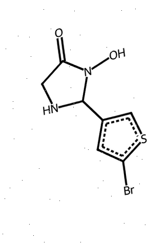 O=C1CNC(c2csc(Br)c2)N1O